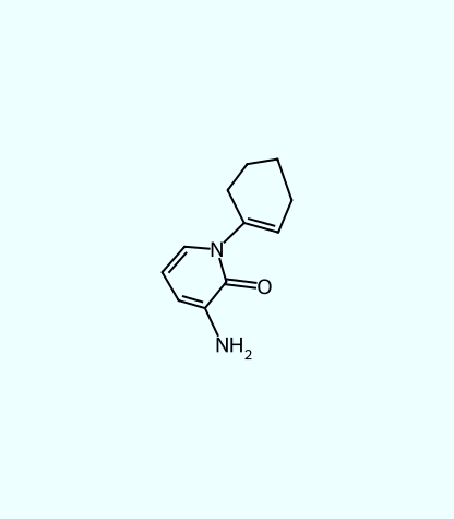 Nc1cccn(C2=CCCCC2)c1=O